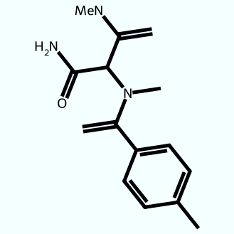 C=C(NC)C(C(N)=O)N(C)C(=C)c1ccc(C)cc1